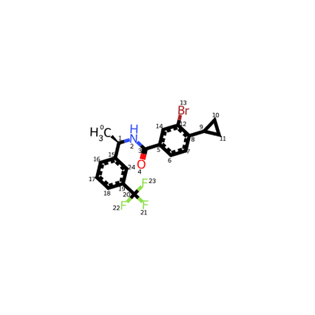 C[C@@H](NC(=O)c1ccc(C2CC2)c(Br)c1)c1cccc(C(F)(F)F)c1